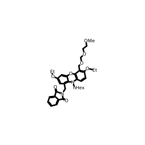 CCCCCCN1c2ccc(OCC)c(COCOCCOC)c2Oc2cc(OCC)cc(CN3C(=O)c4ccccc4C3=O)c21